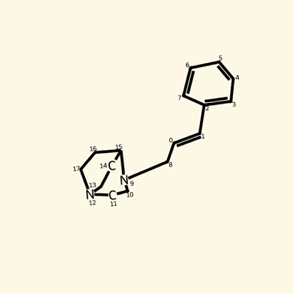 C(=Cc1ccccc1)CN1CCN2CCC1CC2